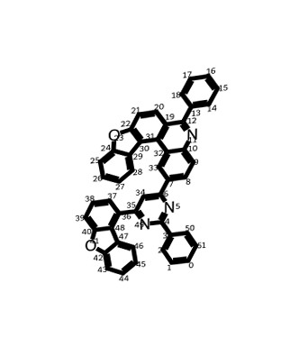 c1ccc(-c2nc(-c3ccc4nc(-c5ccccc5)c5ccc6oc7ccccc7c6c5c4c3)cc(-c3cccc4oc5ccccc5c34)n2)cc1